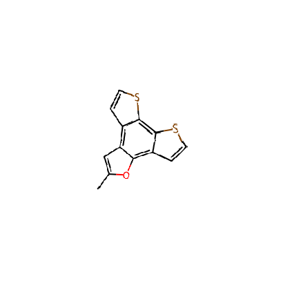 Cc1cc2c3ccsc3c3sccc3c2o1